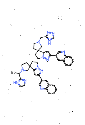 CCC(c1ncc[nH]1)N1CCC2(CCn3nc(-c4cnc5ccccc5c4)cc32)C1.c1ccc2ncc(-c3cc4n(n3)CCC43CCN(Cc4nnc[nH]4)C3)cc2c1